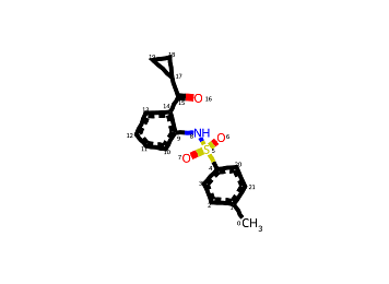 Cc1ccc(S(=O)(=O)Nc2ccccc2C(=O)C2CC2)cc1